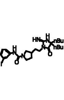 CCCCC1(CCCC)NC(=N)N(CCC2CCN(C(=O)Nc3cccc(I)c3)C2)C1=O